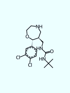 CC(C)(C)NC(=O)NC[C@@H]1CNCCO[C@H]1c1ccc(Cl)c(Cl)c1